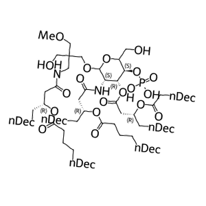 CCCCCCCCCCCCCC(=O)O[C@H](CCCCCCCCCCC)CC(=O)NCC(CO)(COC)COC1OC(CO)[C@@H](OP(=O)(O)O)[C@H](OC(=O)C[C@@H](CCCCCCCCCCC)OC(=O)CCCCCCCCCCC)[C@@H]1NC(=O)C[C@@H](CCCCCCCCCCC)OC(=O)CCCCCCCCCCCCC